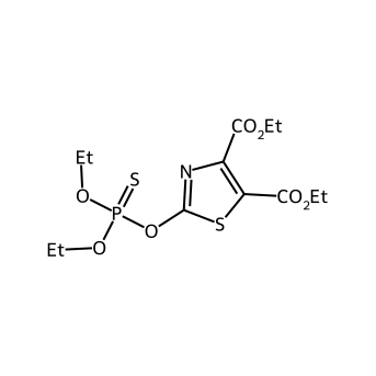 CCOC(=O)c1nc(OP(=S)(OCC)OCC)sc1C(=O)OCC